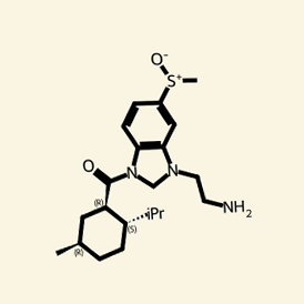 CC(C)[C@@H]1CC[C@@H](C)C[C@H]1C(=O)N1CN(CCN)c2cc([S+](C)[O-])ccc21